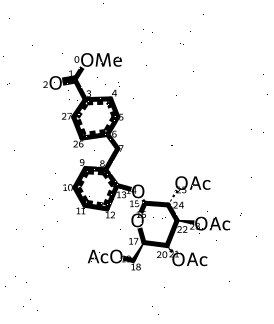 COC(=O)c1ccc(Cc2ccccc2O[C@H]2O[C@H](COC(C)=O)[C@@H](OC(C)=O)[C@H](OC(C)=O)[C@H]2OC(C)=O)cc1